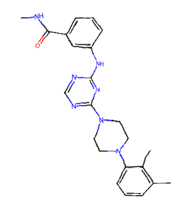 CNC(=O)c1cccc(Nc2ncnc(N3CCN(c4cccc(C)c4C)CC3)n2)c1